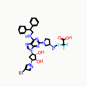 CCc1cnn([C@H]2C[C@@H](n3cnc4c(NCC(c5ccccc5)c5ccccc5)nc(N5CC[C@@H](N(C)C)C5)nc43)[C@H](O)[C@@H]2O)c1.O=C(O)C(F)(F)F